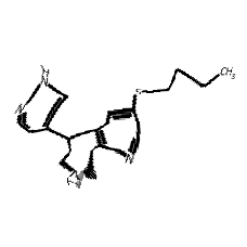 CCCCSc1cnc2c(c1)C(c1cn[nH]c1)CN2